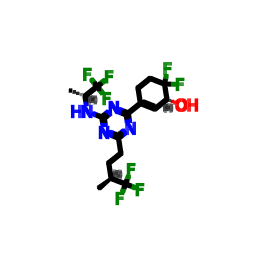 C[C@@H](CCc1nc(N[C@H](C)C(F)(F)F)nc(C2=C[C@@H](O)C(F)(F)CC2)n1)C(F)(F)F